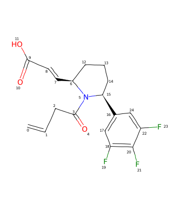 C=CCC(=O)N1[C@@H](/C=C/C(=O)O)CCC[C@H]1c1cc(F)c(F)c(F)c1